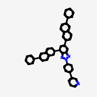 c1ccc(-c2ccc3cc(-c4cc(-c5ccc6cc(-c7ccccc7)ccc6c5)c5nn(-c6ccc(-c7cccnc7)cc6)nc5c4)ccc3c2)cc1